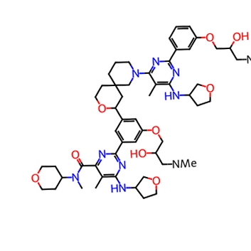 CNCC(O)COc1cccc(-c2nc(NC3CCOC3)c(C)c(N3CCCC4(CCOC(c5cc(OCC(O)CNC)cc(-c6nc(NC7CCOC7)c(C)c(C(=O)N(C)C7CCOCC7)n6)c5)C4)C3)n2)c1